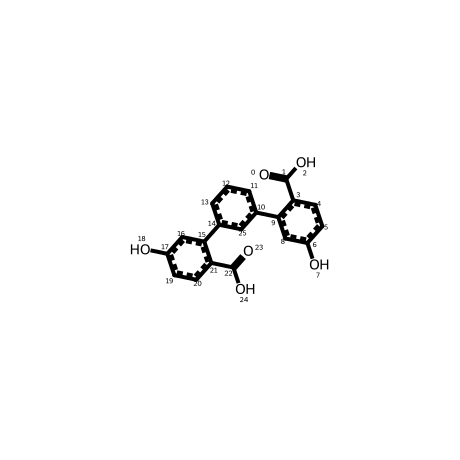 O=C(O)c1ccc(O)cc1-c1cccc(-c2cc(O)ccc2C(=O)O)c1